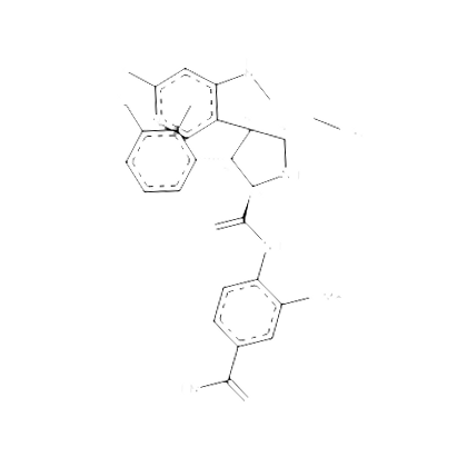 CCc1cc2c(cn1)[C@@]1(CN2)[C@H](CC(C)(C)C)N[C@@H](C(=O)Nc2ccc(C(N)=O)cc2OC)[C@@H]1c1cccc(Cl)c1F